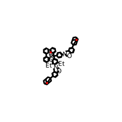 CCc1cc(C(c2ccccc2)(c2ccc(N3COc4ccc(C56CC7CC(CC(C7)C5)C6)cc4C3)cc2)P2(=O)Oc3ccccc3-c3ccccc32)cc(CC)c1N1COc2ccc(C34CC5CC(CC(C5)C3)C4)cc2C1